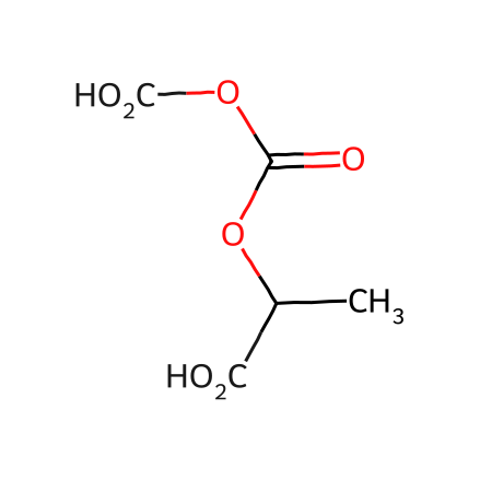 CC(OC(=O)OC(=O)O)C(=O)O